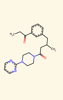 CCC(=O)c1cccc(CC(C)CC(=O)N2CCN(c3ncccn3)CC2)c1